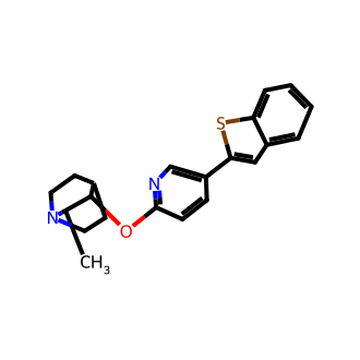 CC1C(Oc2ccc(-c3cc4ccccc4s3)cn2)C2CCN1CC2